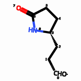 O=[C]CC[C@H]1CCC(=O)N1